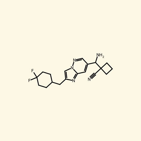 N#CC1(C(N)c2cnn3cc(CC4CCC(F)(F)CC4)nc3c2)CCC1